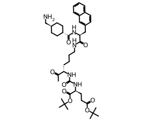 CC(=O)[C@H](CCCCNC(=O)[C@H](Cc1ccc2ccccc2c1)NC(=O)[C@H]1CC[C@H](CN)CC1)NC(=O)N[C@@H](CCC(=O)OC(C)(C)C)C(=O)OC(C)(C)C